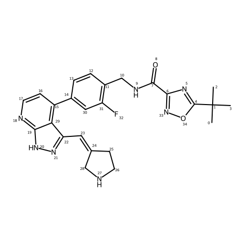 CC(C)(C)c1nc(C(=O)NCc2ccc(-c3ccnc4[nH]nc(C=C5CCNC5)c34)cc2F)no1